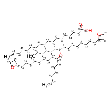 CCCCCCC(CCCCCCCCC1CCO1)OC(CCCCCC)CCCCCCCCC1CCO1.CCCCCCCCCCCCCCCCCC(=O)O